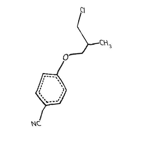 CC(CCl)COc1ccc(C#N)cc1